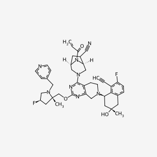 C#Cc1c(F)ccc2c1[C@H](N1CCc3c(nc(OC[C@]4(C)C[C@@H](F)CN4Cc4ccncc4)nc3N3C[C@H]4CC(C#N)[C@@H](C3)N4C(=O)C=C)C1)C[C@@](C)(O)C2